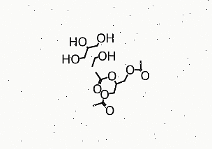 CC(=O)OCC(COC(C)=O)OC(C)=O.CCO.OCC(O)CO